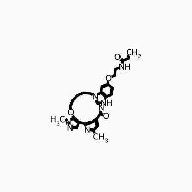 C=CC(=O)NCCOc1ccc2c(c1)N1CCCCCOc3c(cnn3C)-c3cc(cc(C)n3)C(=O)/N=C/1N2